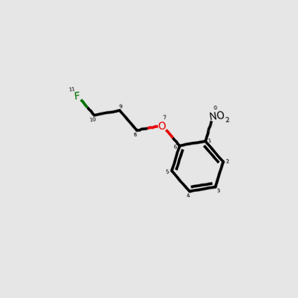 O=[N+]([O-])c1ccccc1OCCCF